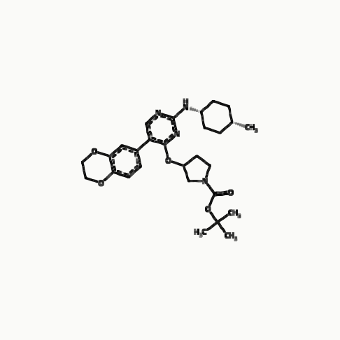 CC(C)(C)OC(=O)N1CCC(Oc2nc(N[C@H]3CC[C@@H](C)CC3)ncc2-c2ccc3c(c2)OCCO3)C1